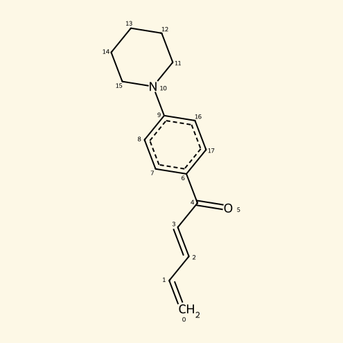 C=CC=CC(=O)c1ccc(N2CCCCC2)cc1